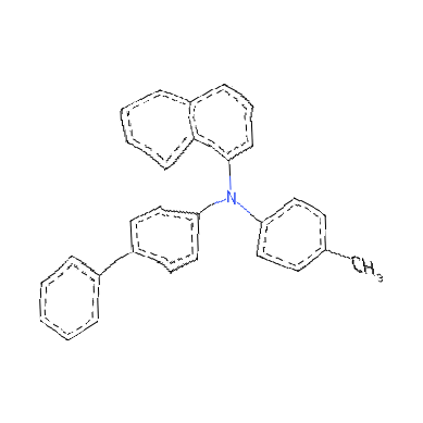 Cc1ccc(N(c2ccc(-c3ccccc3)cc2)c2cccc3ccccc23)cc1